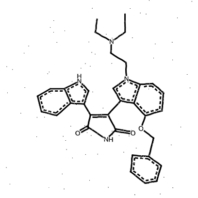 CCN(CC)CCn1cc(C2=C(c3c[nH]c4ccccc34)C(=O)NC2=O)c2c(OCc3ccccc3)cccc21